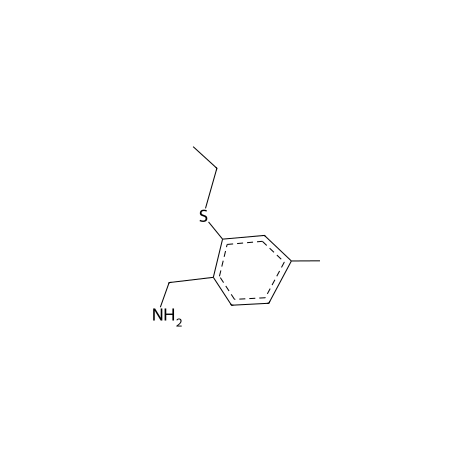 CCSc1cc(C)ccc1CN